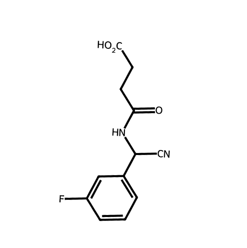 N#CC(NC(=O)CCC(=O)O)c1cccc(F)c1